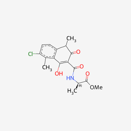 COC(=O)[C@@H](C)NC(=O)C1=C(O)c2c(ccc(Cl)c2C)C(C)C1=O